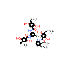 O=C(O)Cc1cc(O)c(C(=O)Nc2cc(NC(=O)c3cc(O)c(CC(=O)O)cc3O)cc(C(=O)O)c2)cc1O.O=C(O)Cc1cc(O)c(C(=O)Nc2cccc(C(=O)O)c2C(=O)O)cc1O